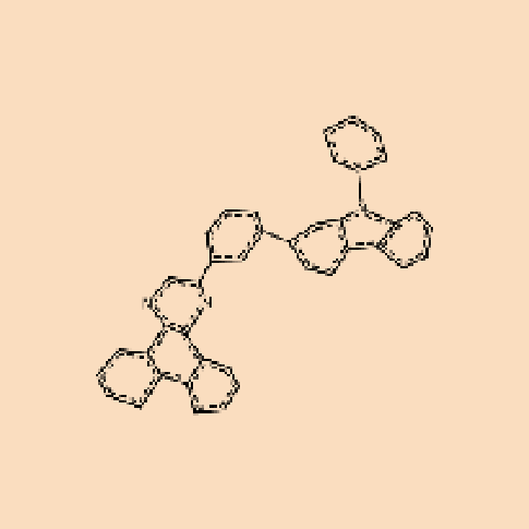 c1ccc(-n2c3ccccc3c3ccc(-c4cccc(-c5cnc6c7ccccc7c7ccccc7c6n5)c4)cc32)cc1